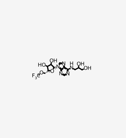 OCC(O)CNc1ncnc2c1ncn2[C@@H]1O[C@H](COC(F)(F)F)C(O)C1O